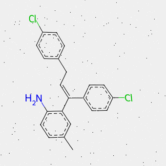 Cc1ccc(N)c(/C(=C/Cc2ccc(Cl)cc2)c2ccc(Cl)cc2)c1